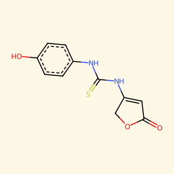 O=C1C=C(NC(=S)Nc2ccc(O)cc2)CO1